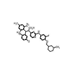 Cc1cc(C)c(C(c2cc(Cl)ccc2Cl)N(C(=O)O)c2ccnc(Nc3ccc(OCC4CCCN(C)C4)c(F)c3)n2)c(C)c1